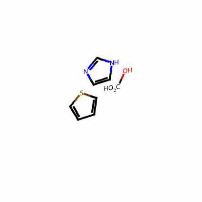 O=C(O)O.c1c[nH]cn1.c1ccsc1